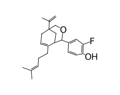 C=C(C)C12CC=C(CCC=C(C)C)C(C1)C(c1ccc(O)c(F)c1)OC2